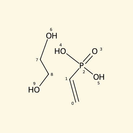 C=CP(=O)(O)O.OCCO